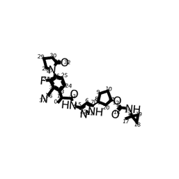 CC(C(=O)Nc1cc([C@H]2CC[C@H](OC(=O)NC3(C)CC3)C2)[nH]n1)c1ccc(N2CCCC2=O)c(F)c1C#N